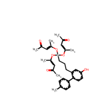 CC(=O)C=C(C)O[Si](CCCc1cc(O)ccc1-c1ccc(C)cc1)(OC(C)=CC(C)=O)OC(C)=CC(C)=O